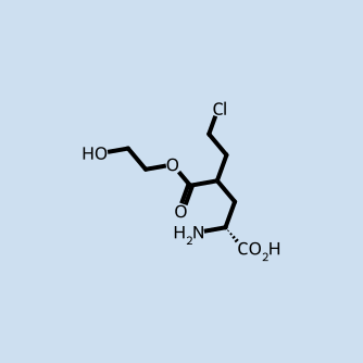 N[C@H](CC(CCCl)C(=O)OCCO)C(=O)O